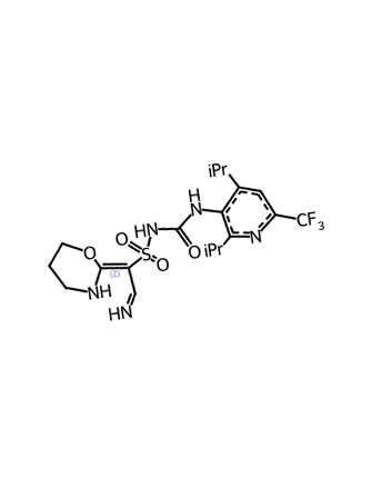 CC(C)c1cc(C(F)(F)F)nc(C(C)C)c1NC(=O)NS(=O)(=O)/C(C=N)=C1/NCCCO1